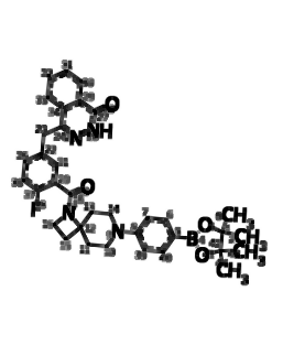 CC1(C)OB(c2ccc(N3CCC4(CC3)CCN4C(=O)c3cc(Cc4n[nH]c(=O)c5ccccc45)ccc3F)cc2)OC1(C)C